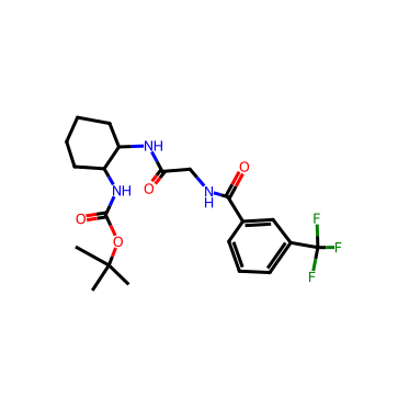 CC(C)(C)OC(=O)NC1CCCCC1NC(=O)CNC(=O)c1cccc(C(F)(F)F)c1